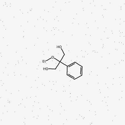 CCOC(CO)(CO)c1ccccc1